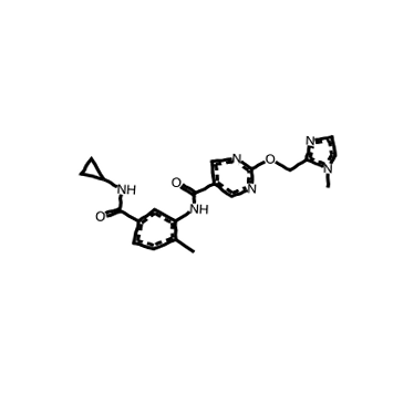 Cc1ccc(C(=O)NC2CC2)cc1NC(=O)c1cnc(OCc2nccn2C)nc1